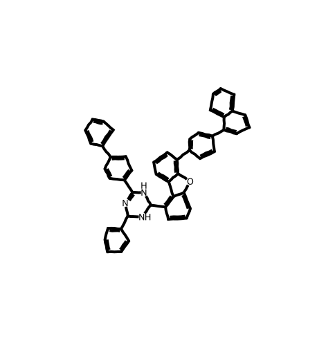 c1ccc(-c2ccc(C3=NC(c4ccccc4)NC(c4cccc5oc6c(-c7ccc(-c8cccc9ccccc89)cc7)cccc6c45)N3)cc2)cc1